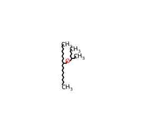 CCCCCCCCCCC(CCCCCCCC)COCC(CC)CCCC